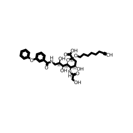 C#CCCCCCCO[C@]1(C(=O)O)C[C@H](O)[C@@H](NC(=O)CO)[C@H]([C@H](O)[C@H](O)CNC(=O)c2cccc(Oc3ccccc3)c2)O1